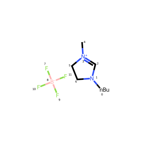 CCCCN1C=[N+](C)CC1.F[B-](F)(F)F